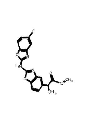 COC(=O)C(C)c1ccc2oc(Nc3nc4cc(F)ccc4o3)nc2c1